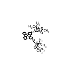 C=C(C)C(=O)OCC(COc1ccc(C2(c3ccc(OCC(COC(=O)C(=C)C)OC(=O)C(=C)C)cc3)c3ccccc3-c3ccccc32)cc1)OC(=O)C(=C)C